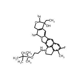 [2H]C1C2=C(C=C3c4cc5cc(F)c(C)c6c5c(c4CN31)N(NCCO[Si](C)(C)C(C)(C)C)CC6)[C@@](O)(CC)C([2H])OC2